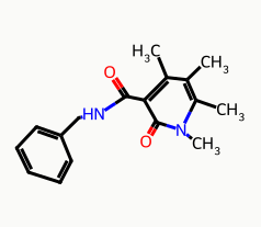 Cc1c(C)c(C)n(C)c(=O)c1C(=O)NCc1ccccc1